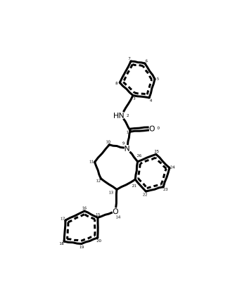 O=C(Nc1ccccc1)N1CCCC(Oc2ccccc2)c2ccccc21